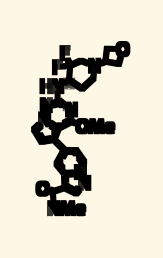 CNC(=O)c1cnn2ccc(-c3ccn4nc(N[C@@H]5CCN(C6COC6)CC5(F)F)nc(OC)c34)cc12